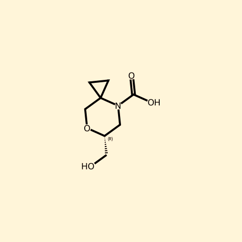 O=C(O)N1C[C@H](CO)OCC12CC2